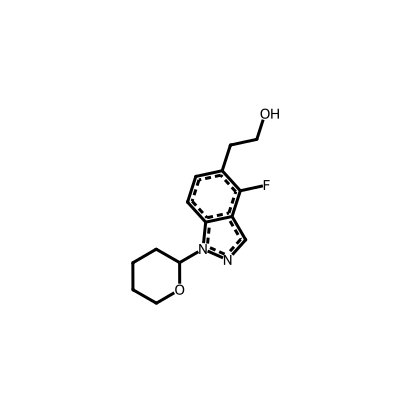 OCCc1ccc2c(cnn2C2CCCCO2)c1F